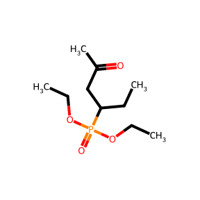 CCOP(=O)(OCC)C(CC)CC(C)=O